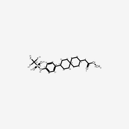 COC(=O)CC1CCC2(CC1)CCC(c1ccc(OS(=O)(=O)C(F)(F)F)cc1)CC2